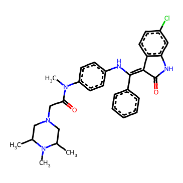 CC1CN(CC(=O)N(C)c2ccc(NC(=C3C(=O)Nc4cc(Cl)ccc43)c3ccccc3)cc2)CC(C)N1C